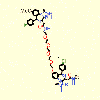 CCNC(=O)C[C@@H]1N=C(c2ccc(Cl)cc2)c2cc(OCCOCCOCCOCCOCCNC(=O)C[C@@H]3N=C(c4ccc(Cl)cc4)c4cc(OC)ccc4N4C(C)NNC34)ccc2N2C(C)NNC12